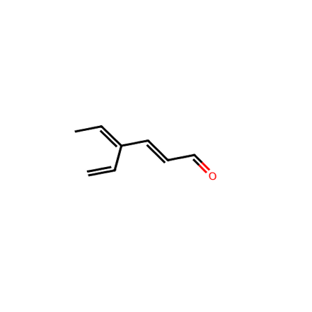 C=CC(/C=C/C=O)=C\C